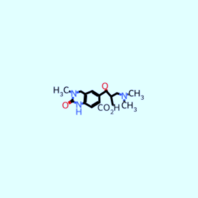 CN(C)CC(CC(=O)O)C(=O)c1ccc2c(c1)CN(C)C(=O)N2